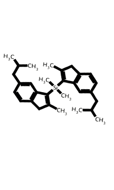 CC1=C([Si](C)(C)C2=C(C)[CH]c3ccc(CC(C)C)cc32)c2cc(CC(C)C)ccc2[CH]1